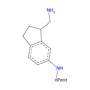 CCCCCNc1ccc2c(c1)C(CN)CC2